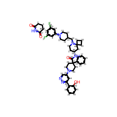 O=C1CC[C@H](c2c(F)cc(N3CCC(CN4CC[C@@H](NC(=O)C5(c6ccccc6)CCN(c6cnnc(-c7ccccc7O)c6)CC5)CC45CCC5)CC3)cc2F)C(=O)N1